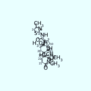 Cc1csc(NC(=O)[C@H]2CC[C@H]3[C@@H]4CC(C)[C@H]5N(C)C(=O)C=C[C@]5(C)[C@H]4CC[C@]23C)n1